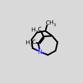 CC1=C(C)N2CCCC(C)C1CCC2